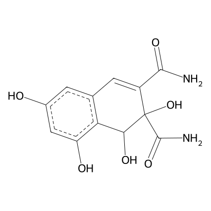 NC(=O)C1=Cc2cc(O)cc(O)c2C(O)C1(O)C(N)=O